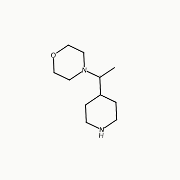 C[C](C1CCNCC1)N1CCOCC1